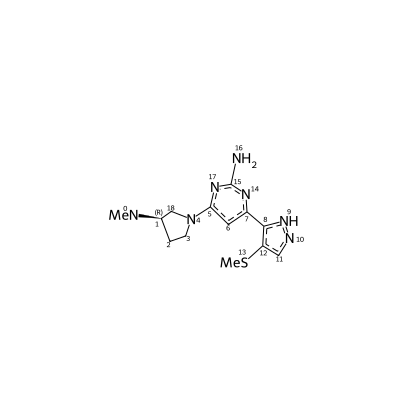 CN[C@@H]1CCN(c2cc(-c3[nH]ncc3SC)nc(N)n2)C1